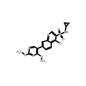 COc1ncc(-c2ccc3c(Cl)c(S(=O)(=O)NC4CC4)cnc3c2)c(OC)n1